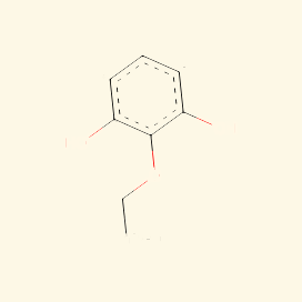 CCCCCCOc1c(O)cccc1O